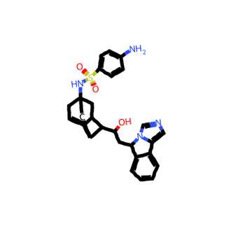 Nc1ccc(S(=O)(=O)NC23CC=C4C(C2)C(C(O)CC2c5ccccc5-c5cncn52)C4C3)cc1